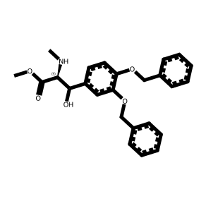 CN[C@H](C(=O)OC)C(O)c1ccc(OCc2ccccc2)c(OCc2ccccc2)c1